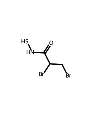 O=C(NS)C(Br)CBr